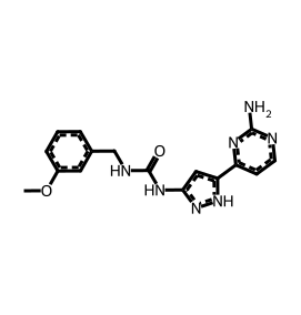 COc1cccc(CNC(=O)Nc2cc(-c3ccnc(N)n3)[nH]n2)c1